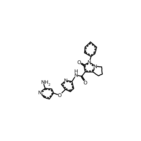 Nc1cc(Oc2ccc(NC(=O)c3c4n(n(-c5ccccc5)c3=O)CCC4)nc2)ccn1